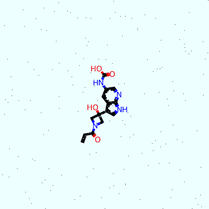 C=CC(=O)N1CC(O)(c2c[nH]c3ncc(NC(=O)O)cc23)C1